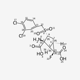 N[C@]1(C(=O)O)[C@H]2[C@@H](C[C@H]1S(=O)(=O)Cc1ccc(Cl)c(Cl)c1)[C@]2(F)C(=O)O